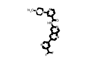 CN1CCN(c2cc(C(=O)Nc3cc4cc(-c5cncc(C(F)F)c5)cnc4cn3)ccn2)CC1